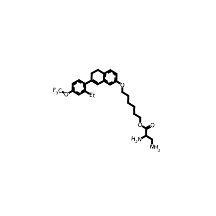 CCc1cc(OC(F)(F)F)ccc1C1=Cc2cc(OCCCCCCOC(=O)C(N)CN)ccc2CC1